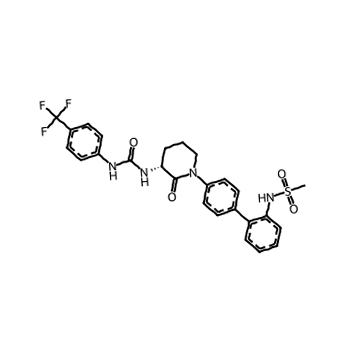 CS(=O)(=O)Nc1ccccc1-c1ccc(N2CCC[C@@H](NC(=O)Nc3ccc(C(F)(F)F)cc3)C2=O)cc1